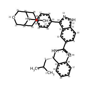 CC(C)C[C@H](NC(=O)c1ccc2[nH]nc(-c3ccc(N4C5COCC4CC(O)C5)cc3)c2c1)c1ccccc1Cl